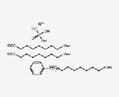 CCCCCCCCCCCCCCCCCC(=O)[O-].CCCCCCCCCCCCCCCCCC(=O)[O-].CCCCCCCCCCCCCCCCCC(=O)[O-].O=C(O)c1ccccc1.O=P(O)(O)O.[Al+3]